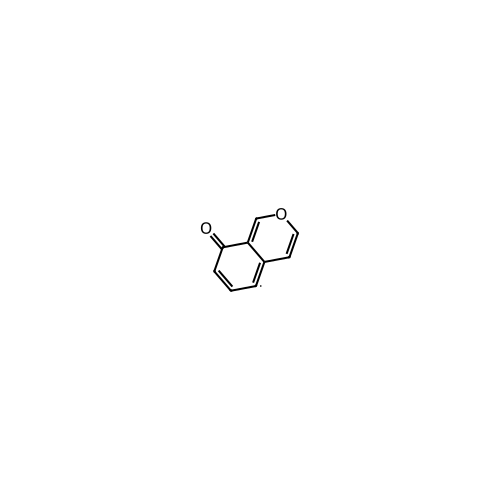 O=c1cc[c]c2ccocc1-2